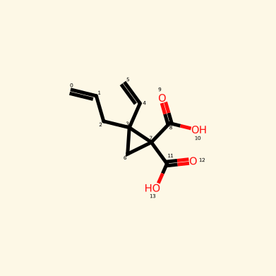 C=CCC1(C=C)CC1(C(=O)O)C(=O)O